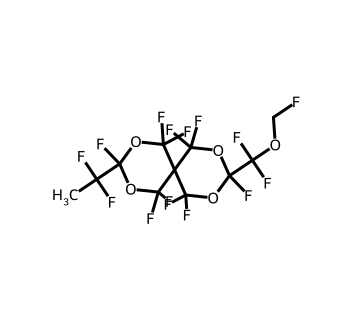 CC(F)(F)C1(F)OC(F)(F)C2(C(F)(F)O1)C(F)(F)OC(F)(C(F)(F)OCF)OC2(F)F